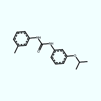 Cc1cccc(NC(=O)Nc2cccc(OC(C)C)c2)c1